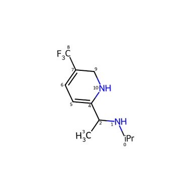 CC(C)NC(C)C1=CC=C(C(F)(F)F)CN1